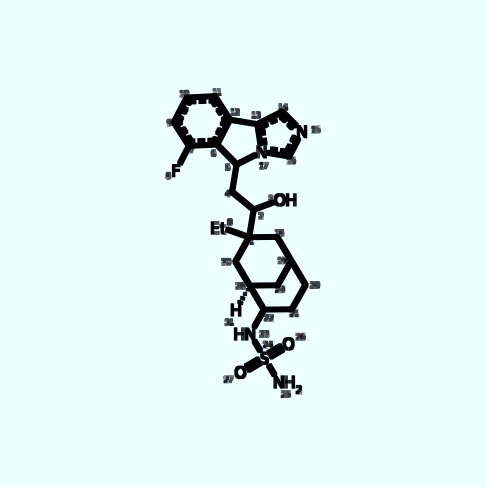 CCC1(C(O)CC2c3c(F)cccc3-c3cncn32)CC2CCC(NS(N)(=O)=O)[C@H](C2)C1